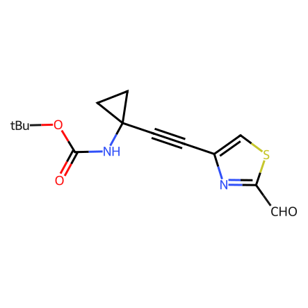 CC(C)(C)OC(=O)NC1(C#Cc2csc(C=O)n2)CC1